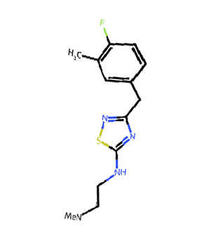 CNCCNc1nc(Cc2ccc(F)c(C)c2)ns1